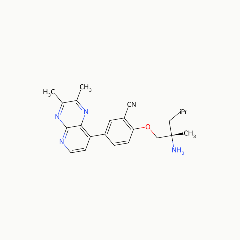 Cc1nc2nccc(-c3ccc(OC[C@@](C)(N)CC(C)C)c(C#N)c3)c2nc1C